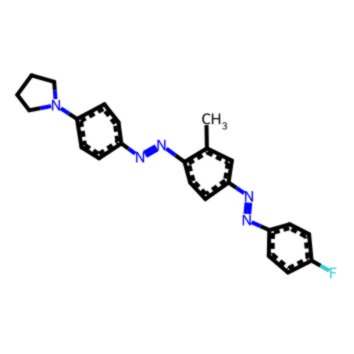 Cc1cc(/N=N/c2ccc(F)cc2)ccc1/N=N/c1ccc(N2CCCC2)cc1